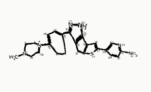 CN1CCN(c2ccc(-c3n[nH]c4c3Cc3sc(-c5ccc(N)nc5)cc3-4)cc2)CC1